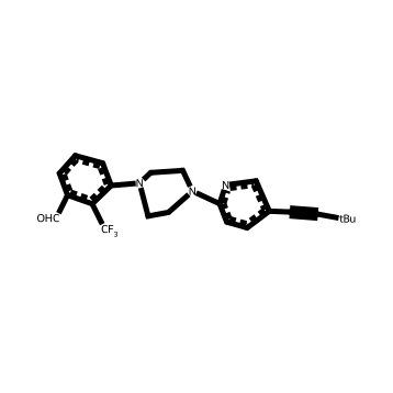 CC(C)(C)C#Cc1ccc(N2CCN(c3cccc(C=O)c3C(F)(F)F)CC2)nc1